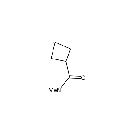 CNC(=O)C1C[CH]C1